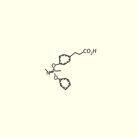 CN=P(C)(Oc1ccccc1)Oc1ccc(CCC(=O)O)cc1